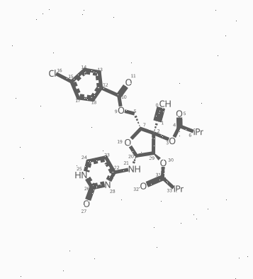 C#C[C@@]1(OC(=O)C(C)C)[C@@H](COC(=O)c2ccc(Cl)cc2)O[C@@H](Nc2cc[nH]c(=O)n2)[C@@H]1OC(=O)C(C)C